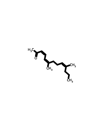 CCCC(C)=CCC/C(C)=C\C=C/C(C)=O